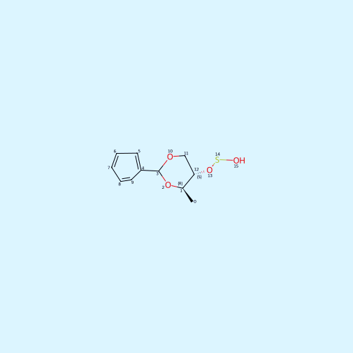 C[C@H]1OC(c2ccccc2)OC[C@@H]1OSO